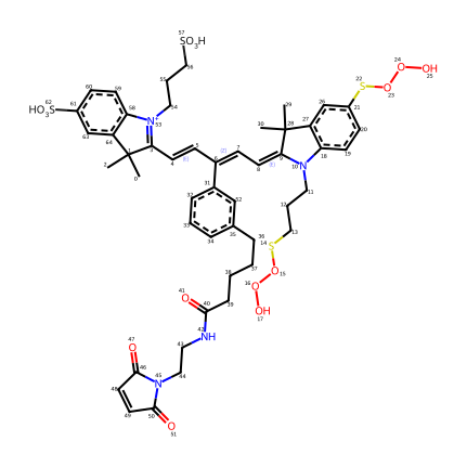 CC1(C)C(/C=C/C(=C/C=C2/N(CCCSOOO)c3ccc(SOOO)cc3C2(C)C)c2cccc(CCCCC(=O)NCCN3C(=O)C=CC3=O)c2)=[N+](CCCS(=O)(=O)O)c2ccc(S(=O)(=O)O)cc21